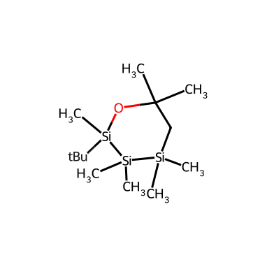 CC1(C)C[Si](C)(C)[Si](C)(C)[Si](C)(C(C)(C)C)O1